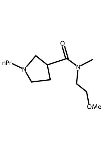 CCCN1CCC(C(=O)N(C)CCOC)C1